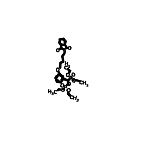 CCOP(=O)(OCC)OC(c1cccc(OCCCCCN2C(=O)c3ccccc3C2=O)c1)P(=O)(OCC)OCC